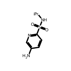 CC(C)NS(=O)(=O)c1ccc(N)cn1